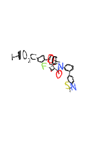 Cc1nc2ccc(-c3cccc(N(CC45CCC(c6ccc(C(=O)O)cc6)(CC4)OC5)C(=O)C45CC(F)(C4)C5)c3)cc2s1